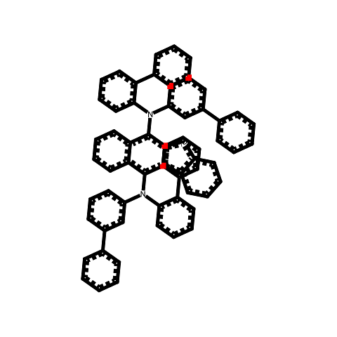 c1ccc(-c2cccc(N(c3ccccc3-c3ccccc3)c3c4ccccc4c(N(c4cccc(-c5ccccc5)c4)c4ccccc4-c4ccccc4)c4c3oc3ccccc34)c2)cc1